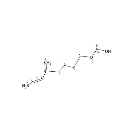 B/C=C/C(=C)CCCCONO